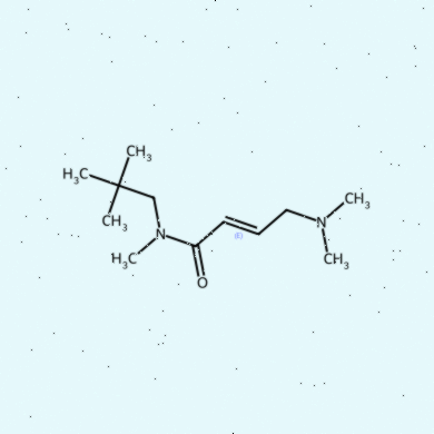 CN(C)C/C=C/C(=O)N(C)CC(C)(C)C